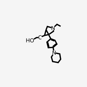 CCN1CC2C(CCO)C2(c2ccc(N3CCCCC3)cc2)C1